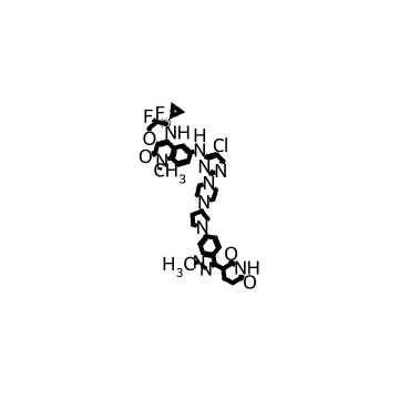 Cn1nc(C2CCC(=O)NC2=O)c2ccc(N3CCC(N4CCN(c5ncc(Cl)c(Nc6ccc7c(c6)c6c(c(=O)n7C)OCC(F)(F)[C@H](C7CC7)N6)n5)CC4)C3)cc21